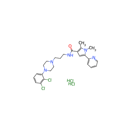 Cc1c(C(=O)NCCCN2CCN(c3cccc(Cl)c3Cl)CC2)cc(-c2ccccn2)n1C.Cl.Cl